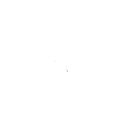 CCCC[C@@H]1C(C)c2cc(C(C)(C)C)ccc2N[C@H]1C1C=CC=C(O)C1